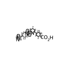 O=C(O)c1ccc(-c2cccc(S(=O)(=O)N3CCC(c4cnco4)CC3)n2)cc1